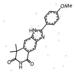 COc1ccc(-c2nc3cc4c(cc3[nH]2)C(C)(C)C(=O)NC4=O)cc1